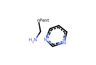 CCCCCCN.c1cncnc1